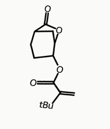 C=C(C(=O)OC1CCC2CC1OC2=O)C(C)(C)C